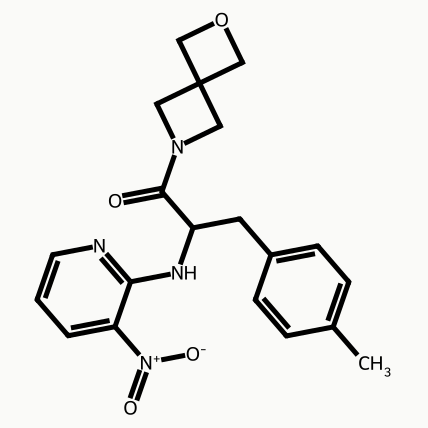 Cc1ccc(CC(Nc2ncccc2[N+](=O)[O-])C(=O)N2CC3(COC3)C2)cc1